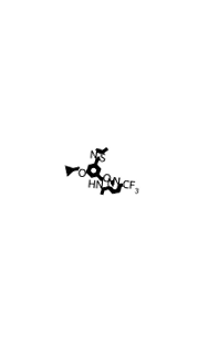 Cc1cnc(-c2cc(OCC3CC3)cc(C(=O)NC(C)c3ccc(C(F)(F)F)nn3)c2)s1